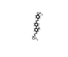 CCCCCc1ccc(-c2ccc(CCc3ccc(C)cc3)cc2)c(F)c1